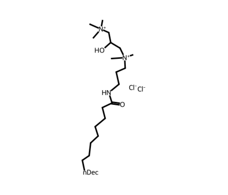 CCCCCCCCCCCCCCCCCC(=O)NCCC[N+](C)(C)CC(O)C[N+](C)(C)C.[Cl-].[Cl-]